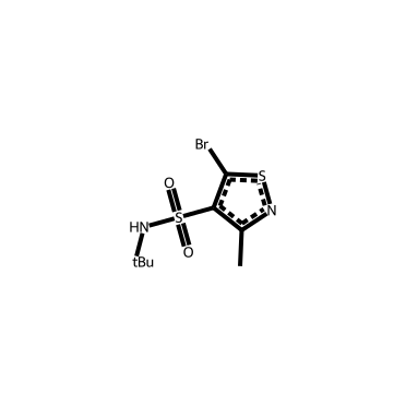 Cc1nsc(Br)c1S(=O)(=O)NC(C)(C)C